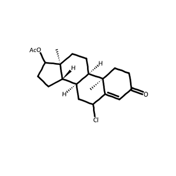 CC(=O)OC1CC[C@H]2[C@@H]3CC(Cl)C4=CC(=O)CC[C@]4(C)[C@@H]3CC[C@]12C